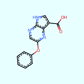 O=C(O)c1c[nH]c2ncc(Oc3ccccc3)nc12